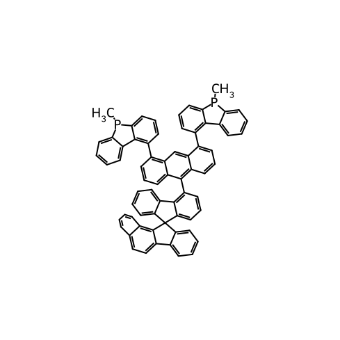 Cp1c2ccccc2c2c(-c3cccc4c(-c5cccc6c5-c5ccccc5C65c6ccccc6-c6ccc7ccccc7c65)c5cccc(-c6cccc7c6c6ccccc6p7C)c5cc34)cccc21